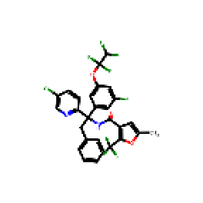 Cc1cc(C(=O)NC(Cc2ccccc2)(c2cc(F)cc(OC(F)(F)C(F)F)c2)c2ccc(Cl)cn2)c(C(F)(F)F)o1